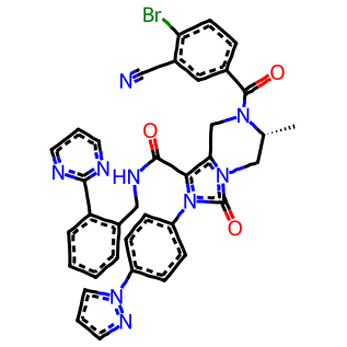 C[C@@H]1Cn2c(c(C(=O)NCc3ccccc3-c3ncccn3)n(-c3ccc(-n4cccn4)cc3)c2=O)CN1C(=O)c1ccc(Br)c(C#N)c1